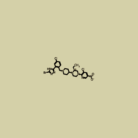 CC[C@H]1CN(c2ncc([N+](=O)[O-])cc2Cl)CCN1C1CCN(Cc2ccc(Cl)cc2-c2nnc(Br)[nH]2)CC1